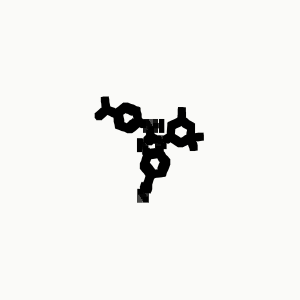 CC1CC(n2c(Nc3ccc(C(C)C)cc3)nc3cc(C#N)ccc32)CC(C)(C)C1